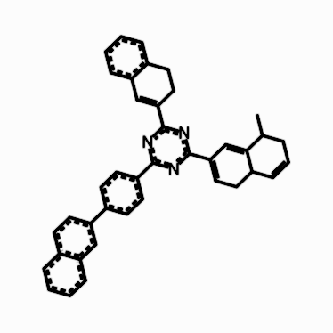 CC1CC=CC2CC=C(c3nc(C4=Cc5ccccc5CC4)nc(-c4ccc(-c5ccc6ccccc6c5)cc4)n3)C=C12